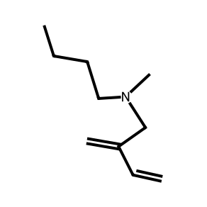 C=CC(=C)CN(C)CCCC